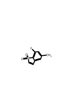 Cc1cc(F)c2c(c1)C=CS2(=O)=O